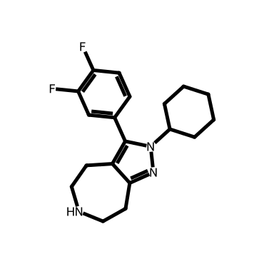 Fc1ccc(-c2c3c(nn2C2CCCCC2)CCNCC3)cc1F